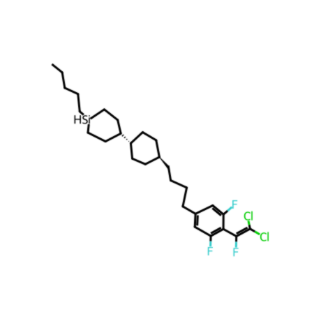 CCCCC[SiH]1CCC([C@H]2CC[C@H](CCCCc3cc(F)c(C(F)=C(Cl)Cl)c(F)c3)CC2)CC1